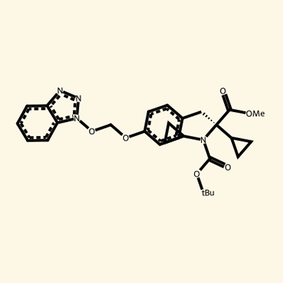 COC(=O)[C@@](Cc1ccc(OCOn2nnc3ccccc32)cc1)(C1CC1)N(C(=O)OC(C)(C)C)C1CC1